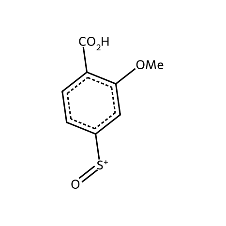 COc1cc([S+]=O)ccc1C(=O)O